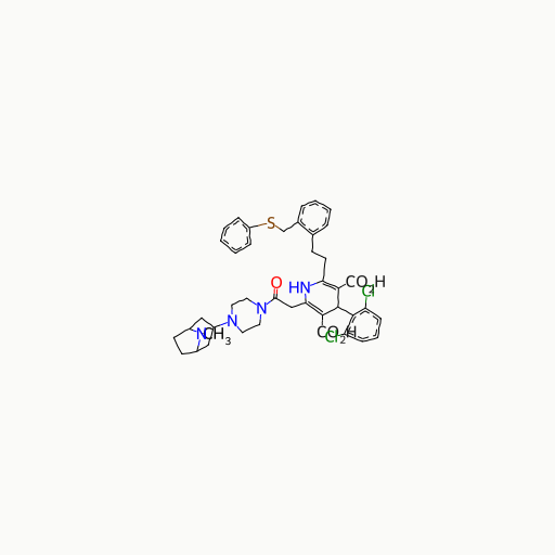 CN1C2CCC1CC(N1CCN(C(=O)CC3=C(C(=O)O)C(c4c(Cl)cccc4Cl)C(C(=O)O)=C(CCc4ccccc4CSc4ccccc4)N3)CC1)C2